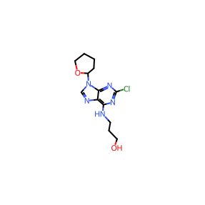 OCCCNc1nc(Cl)nc2c1ncn2C1CCCCO1